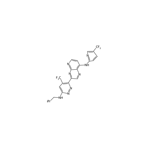 CC(C)CNc1cc(C(F)(F)F)c(-c2cnc3c(Nc4ccc(C(F)(F)F)cn4)ccnc3n2)nn1